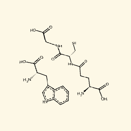 N[C@@H](CCC(=O)N[C@@H](CS)C(=O)NCC(=O)O)C(=O)O.N[C@@H](Cc1c[nH]c2ccccc12)C(=O)O